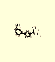 Cc1cc(-c2nc(C(C)C)co2)ccn1